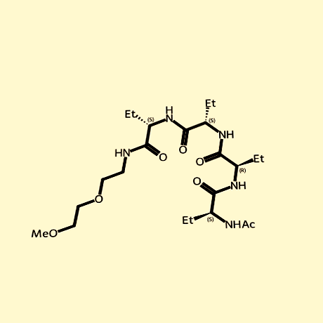 CC[C@H](NC(C)=O)C(=O)N[C@H](CC)C(=O)N[C@@H](CC)C(=O)N[C@@H](CC)C(=O)NCCOCCOC